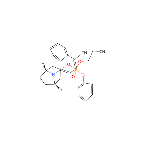 N#CCCOP(=O)(Oc1ccccc1)O[C@H]1C[C@H]2CC[C@@H](C1)N2c1ccc(C#N)c2ccccc12